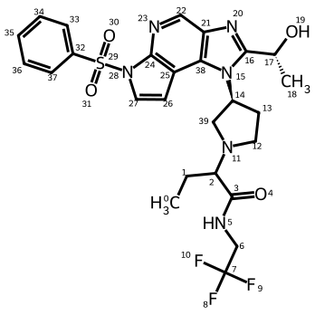 CCC(C(=O)NCC(F)(F)F)N1CC[C@H](n2c([C@@H](C)O)nc3cnc4c(ccn4S(=O)(=O)c4ccccc4)c32)C1